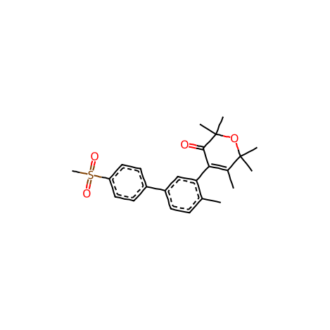 CC1=C(c2cc(-c3ccc(S(C)(=O)=O)cc3)ccc2C)C(=O)C(C)(C)OC1(C)C